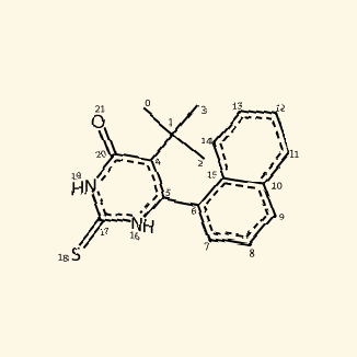 CC(C)(C)c1c(-c2cccc3ccccc23)[nH]c(=S)[nH]c1=O